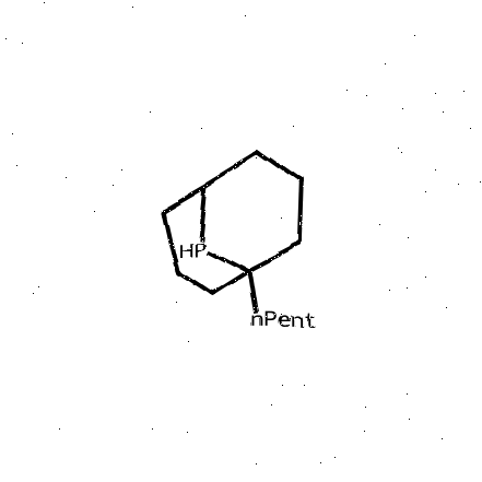 CCCCCC12CCCC(CCC1)P2